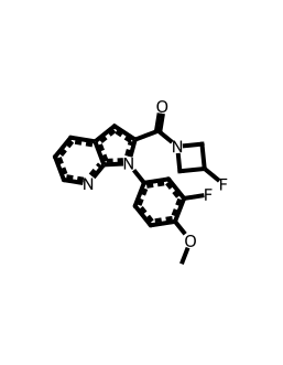 COc1ccc(-n2c(C(=O)N3CC(F)C3)cc3cccnc32)cc1F